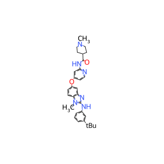 CN1CCC(C(=O)Nc2cc(Oc3ccc4c(c3)nc(Nc3cccc(C(C)(C)C)c3)n4C)ccn2)CC1